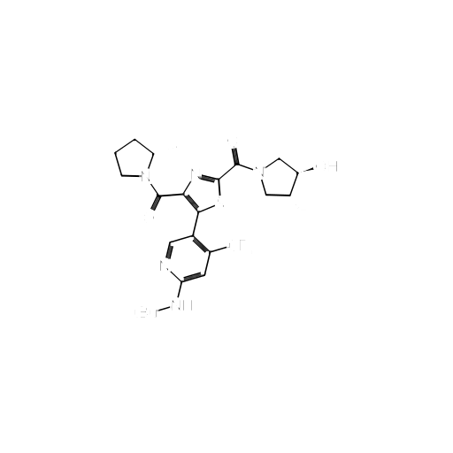 C[C@H]1CCCN1C(=O)c1nc(C(=O)N2C[C@@H](O)[C@H](F)C2)sc1-c1cnc(NC(C)(C)C)cc1C(F)(F)F